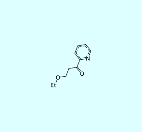 CCOCCC(=O)c1ccccn1